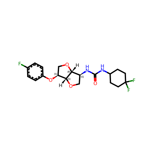 O=C(NC1CCC(F)(F)CC1)N[C@H]1CO[C@H]2[C@@H]1OC[C@@H]2Oc1ccc(F)cc1